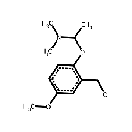 COc1ccc(OC(C)N(C)C)c(CCl)c1